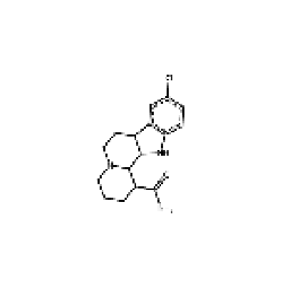 NC(=O)C1CCCN2CCC3c4cc(Cl)ccc4NC3C12